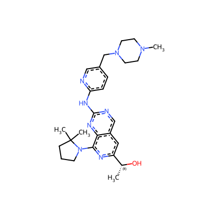 C[C@@H](O)c1cc2cnc(Nc3ccc(CN4CCN(C)CC4)cn3)nc2c(N2CCCC2(C)C)n1